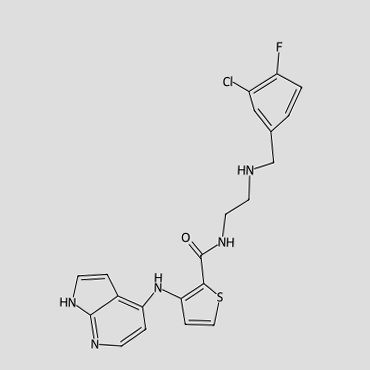 O=C(NCCNCc1ccc(F)c(Cl)c1)c1sccc1Nc1ccnc2[nH]ccc12